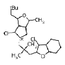 CC1OC(CC(C)(C)C)C2C1C[C@H](CC(C)(C)CC1OC3CCCCC3C1Cl)C2Cl